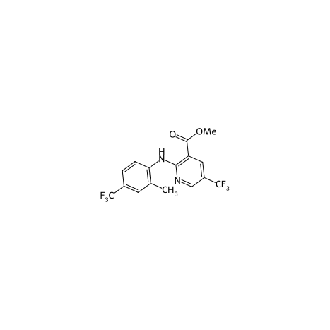 COC(=O)c1cc(C(F)(F)F)cnc1Nc1ccc(C(F)(F)F)cc1C